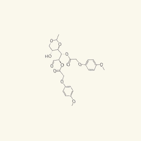 COc1ccc(OCC(=O)O[C@@H]([C@@H]2OC(C)OC[C@H]2O)[C@H](C=O)OC(=O)COc2ccc(OC)cc2)cc1